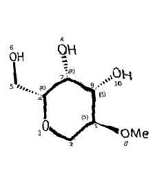 CO[C@H]1[CH]O[C@H](CO)[C@H](O)[C@@H]1O